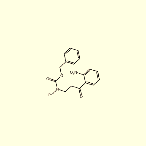 CC(C)N(CCC(=O)c1ccccc1[N+](=O)[O-])C(=O)OCc1ccccc1